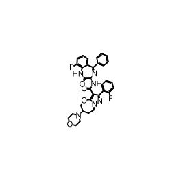 O=C(N[C@@H]1N=C(c2ccccc2)c2cccc(F)c2NC1=O)c1c(-c2ccccc2F)nn2c1OCC(N1CCOCC1)CC2